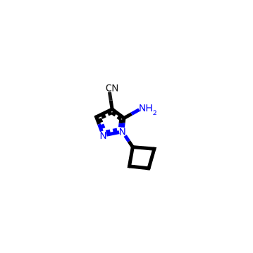 N#Cc1cnn(C2CCC2)c1N